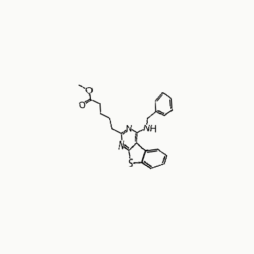 COC(=O)CCCCc1nc(NCc2ccccc2)c2c(n1)sc1ccccc12